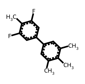 Cc1cc(-c2cc(F)c(C)c(F)c2)cc(C)c1C